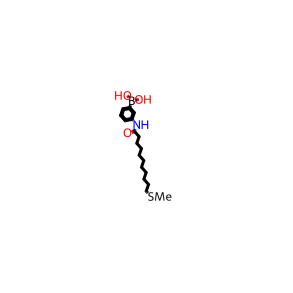 CSCCCCCCCCCCC(=O)Nc1cccc(B(O)O)c1